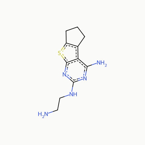 NCCNc1nc(N)c2c3c(sc2n1)CCC3